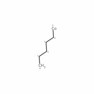 CCCC[CH2][Co]